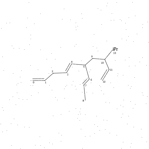 [CH]=CCC=CC(C=CC)CC(C=C)C(C)C